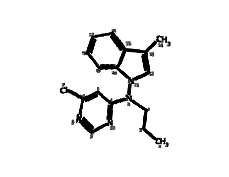 CCCN(c1cc(Cl)ncn1)n1cc(C)c2ccccc21